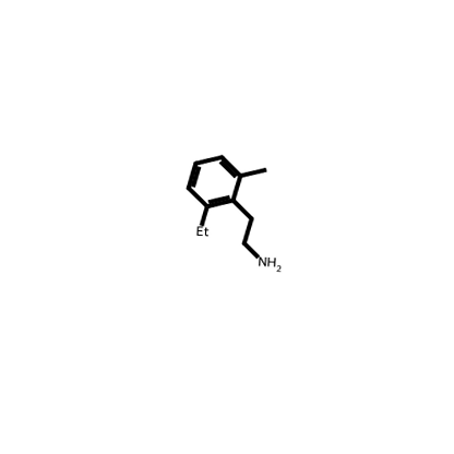 CCc1cccc(C)c1CCN